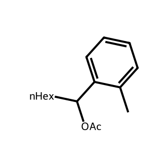 CCCCCCC(OC(C)=O)c1ccccc1C